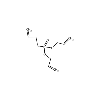 C=CCOP(=O)(OCC=C)SCC=C